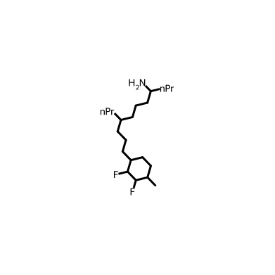 CCCC(N)CCCC(CCC)CCCC1CCC(C)C(F)C1F